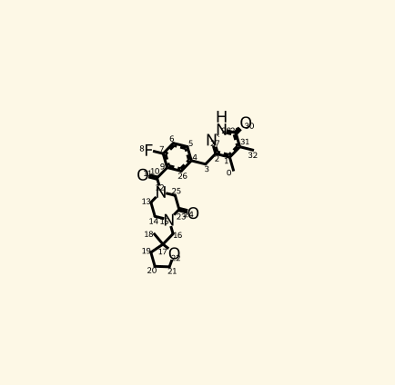 Cc1c(Cc2ccc(F)c(C(=O)N3CCN(CC4(C)CCCO4)C(=O)C3)c2)n[nH]c(=O)c1C